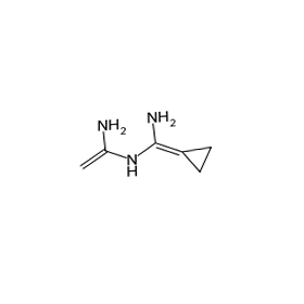 C=C(N)NC(N)=C1CC1